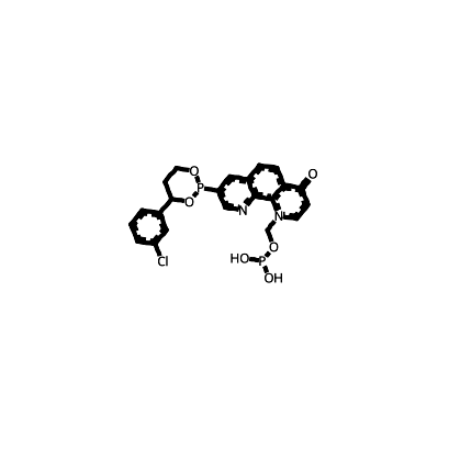 O=c1ccn(COP(O)O)c2c1ccc1cc(P3OCCC(c4cccc(Cl)c4)O3)cnc12